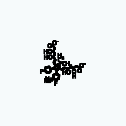 CC(C)n1c(C=CC(O)CC(O)CC(=O)[O-])c(-c2ccc(F)cc2)c(-c2ccc(F)cc2)c1C=CC(O)CC(O)CC(=O)[O-].[Na+].[Na+]